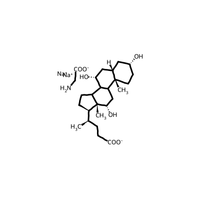 C[C@H](CCC(=O)[O-])[C@H]1CCC2C3C(C[C@H](O)[C@@]21C)[C@@]1(C)CC[C@@H](O)C[C@H]1C[C@H]3O.NCC(=O)[O-].[Na+].[Na+]